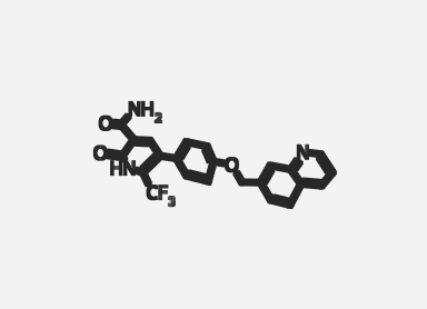 NC(=O)c1cc(-c2ccc(OCc3ccc4cccnc4c3)cc2)c(C(F)(F)F)[nH]c1=O